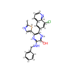 Cc1ncc(-c2nc(NCc3ccccc3)c(O)nc2-c2cc(Cl)c3ncccc3c2)s1